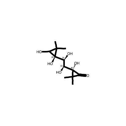 CC1(C)C(O)[C@@]1(O)[C@@H](O)[C@H](O)[C@@]1(O)C(=O)C1(C)C